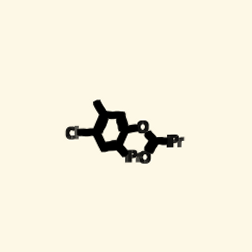 Cc1cc(OC(=O)C(C)C)c(C(C)C)cc1Cl